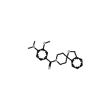 COc1cc(C(=O)N2CCC3(CC2)OCc2ccccc23)ccc1N(C)C